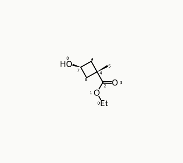 CCOC(=O)[C@]1(C)C[C@@H](O)C1